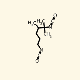 CC(CCCN=C=O)C(C)(C)N=C=O